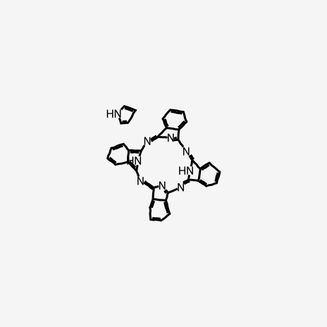 c1cc[nH]c1.c1ccc2c(c1)-c1nc-2nc2[nH]c(nc3nc(nc4[nH]c(n1)c1ccccc41)-c1ccccc1-3)c1ccccc21